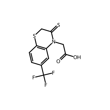 O=C(O)CN1C(=S)CSc2ccc(C(F)(F)F)cc21